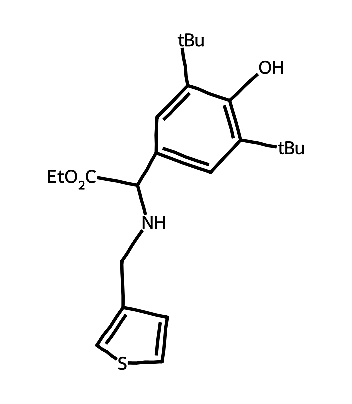 CCOC(=O)C(NCc1ccsc1)c1cc(C(C)(C)C)c(O)c(C(C)(C)C)c1